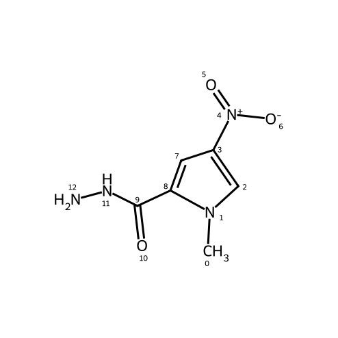 Cn1cc([N+](=O)[O-])cc1C(=O)NN